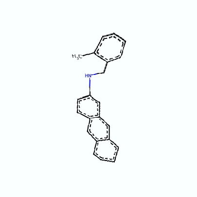 Cc1ccccc1CNc1ccc2cc3ccccc3cc2c1